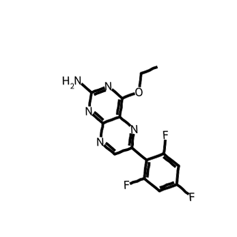 CCOc1nc(N)nc2ncc(-c3c(F)cc(F)cc3F)nc12